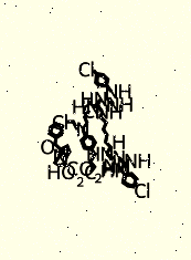 N=C(NCCCCCCNC(=N)NC(=N)Nc1ccc(Cl)cc1)NC(=N)Nc1ccc(Cl)cc1.O=C(O)CCCc1ccc(N(CCCl)CCCl)cc1.O=C(c1ccccc1)c1ccc2n1CCC2C(=O)O